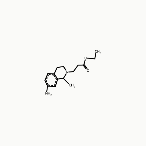 CCOC(=O)CCN1CCc2ccc(N)cc2C1C